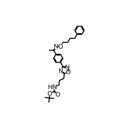 CC(=NOCCCCc1ccccc1)c1ccc(-c2noc(CCCNC(=O)OC(C)(C)C)n2)cc1